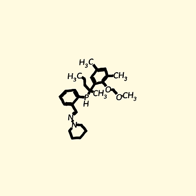 CCCC(C)(Pc1ccccc1/C=N/N1CCCCC1)c1cc(C)cc(C)c1OCOC